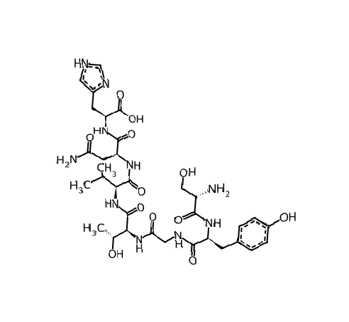 CC(C)[C@H](NC(=O)[C@@H](NC(=O)CNC(=O)[C@H](Cc1ccc(O)cc1)NC(=O)[C@@H](N)CO)[C@@H](C)O)C(=O)N[C@@H](CC(N)=O)C(=O)N[C@@H](Cc1c[nH]cn1)C(=O)O